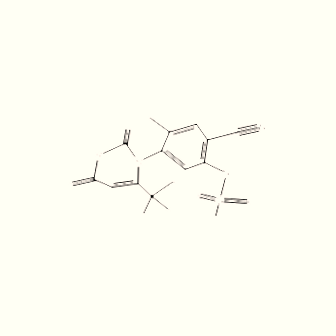 CS(=O)(=O)Nc1cc(-n2c(C(F)(F)F)cc(=O)[nH]c2=O)c(F)cc1C#N